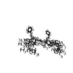 CN[C@@H](C)C(=O)N[C@H](C(=O)N1CC[C@@]2(C)C[C@@H](OCCO[C@H]3CN(CCc4ccccc4)C[C@@]4(C)N(C(=O)[C@@H](NC(=O)[C@H](N)NC)C(C)C)CC[C@@]4(C)C3)CN(CCc3ccccc3)C[C@@]12C)C(C)C